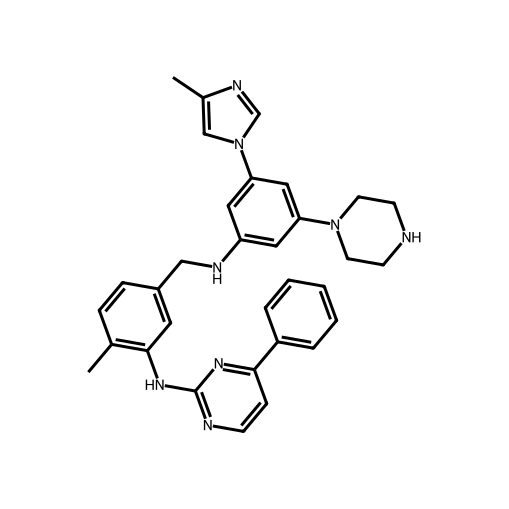 Cc1cn(-c2cc(NCc3ccc(C)c(Nc4nccc(-c5ccccc5)n4)c3)cc(N3CCNCC3)c2)cn1